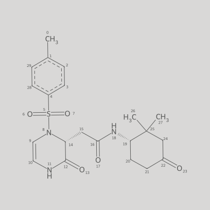 Cc1ccc(S(=O)(=O)N2C=CNC(=O)[C@H]2CC(=O)N[C@H]2CCC(=O)CC2(C)C)cc1